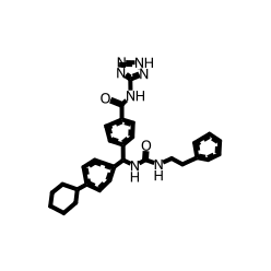 O=C(NCCc1ccccc1)NC(c1ccc(C(=O)Nc2nn[nH]n2)cc1)c1ccc(C2CCCCC2)cc1